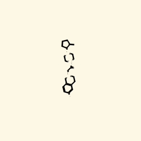 CC(=O)c1ccc2c(c1)CCN(CC(=O)N1CCN(C3CCCC3C)CC1)C2